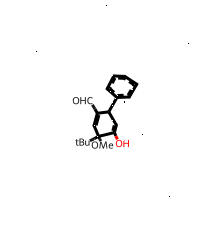 COC1(C(C)(C)C)C=C(C=O)C(c2ccccc2)C=C1O